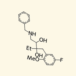 CCC(O)(Cc1cc(F)ccc1OC)C(O)CNCc1ccccc1